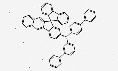 c1ccc(-c2ccc(N(c3cccc(-c4ccccc4)c3)c3ccc4c(c3)C3(c5ccccc5-c5ccccc53)c3cc5ccccc5cc3-4)cc2)cc1